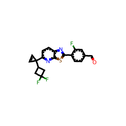 O=Cc1ccc(-c2nc3ccc(C4(C5CC(F)(F)C5)C=C4)nc3s2)c(F)c1